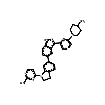 Nc1nccc(N2CCc3ccc(-c4ccc5[nH]nc(-c6cncc(N7CCC(N)CC7)n6)c5c4)cc32)n1